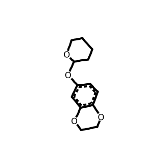 c1cc2c(cc1OC1CCCCO1)OCCO2